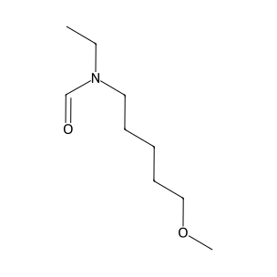 CCN(C=O)CCCCCOC